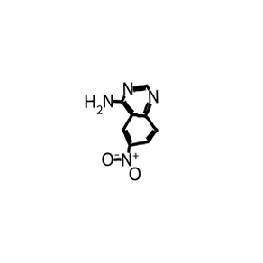 Nc1ncnc2ccc([N+](=O)[O-])cc12